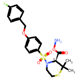 CC1(C)SCCN(S(=O)(=O)c2ccc(OCc3ccc(F)cc3)cc2)[C@H]1C(=O)ON